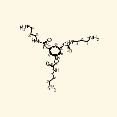 NCCCNC(=O)Oc1cc(OC(=O)NCCCN)cc(OC(=O)NCCCN)c1